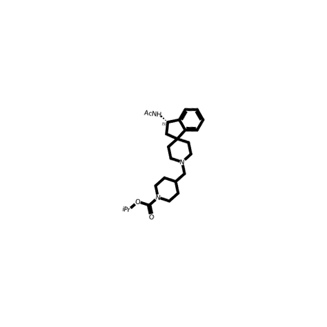 CC(=O)N[C@H]1CC2(CCN(CC3CCN(C(=O)OC(C)C)CC3)CC2)c2ccccc21